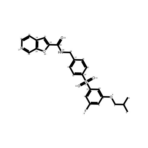 CC(C)COc1cc(F)cc(S(=O)(=O)c2ccc(CNC(=O)c3cc4ccncc4o3)cc2)c1